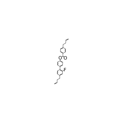 C=CCCc1ccc(C(=O)Oc2ccc(-c3ccc(CCC=C)cc3F)cc2)cc1